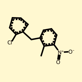 Cc1c(Cc2ccccc2Cl)cccc1[N+](=O)[O-]